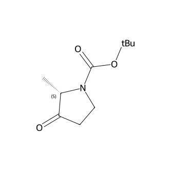 C[C@H]1C(=O)CCN1C(=O)OC(C)(C)C